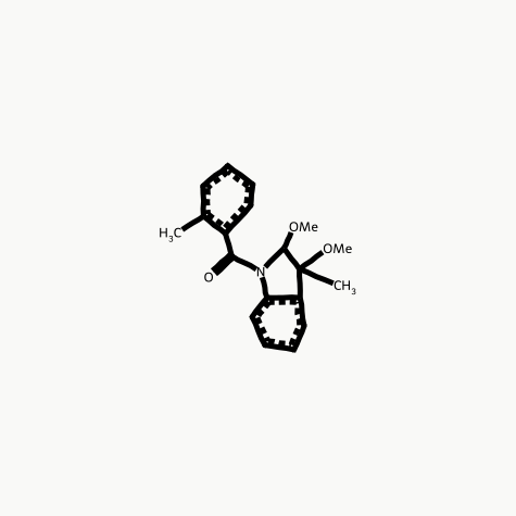 COC1N(C(=O)c2ccccc2C)c2ccccc2C1(C)OC